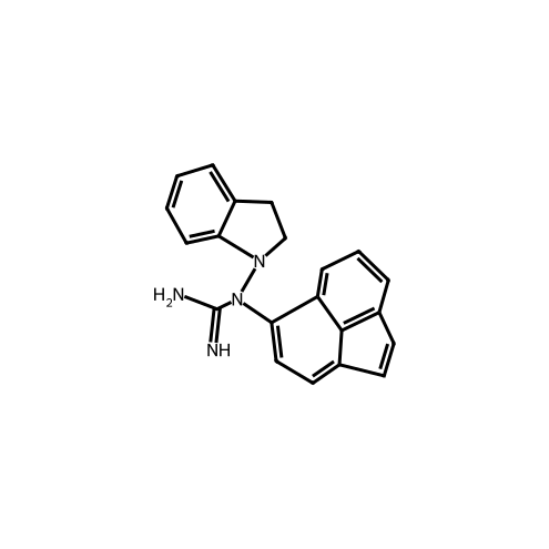 N=C(N)N(c1ccc2c3c(cccc13)C=C2)N1CCc2ccccc21